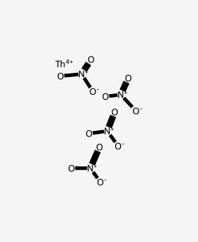 O=[N+]([O-])[O-].O=[N+]([O-])[O-].O=[N+]([O-])[O-].O=[N+]([O-])[O-].[Th+4]